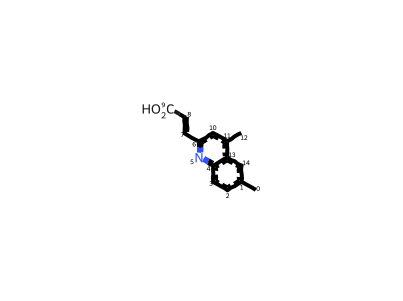 Cc1ccc2nc(C=CC(=O)O)cc(C)c2c1